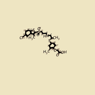 Cc1cc(SC(C)CNCCCS(=O)(=O)c2sc3ccc(Cl)cc3c2C)ccc1OCC(=O)O